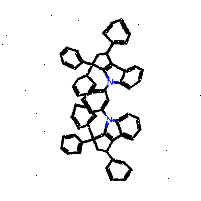 C1=CCC(C2(c3ccccc3)CC(c3ccccc3)c3c2n(-c2cccc(-n4c5c(c6ccccc64)C(c4ccccc4)CC5(C4=CCCC=C4)c4ccccc4)c2)c2ccccc32)C=C1